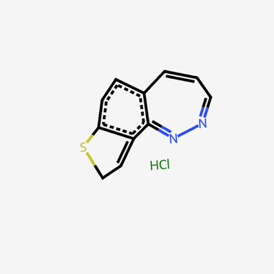 C1=Cc2ccc3c(c2=NN=C1)=CCS3.Cl